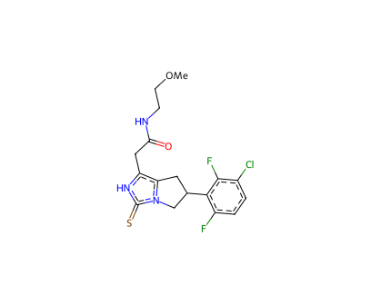 COCCNC(=O)Cc1[nH]c(=S)n2c1CC(c1c(F)ccc(Cl)c1F)C2